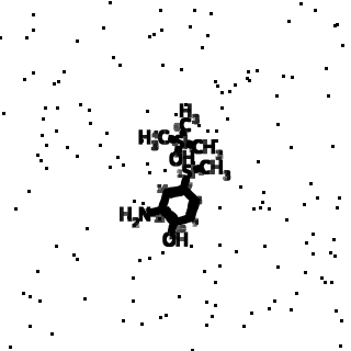 C[SiH](O[Si](C)(C)C)c1ccc(O)c(N)c1